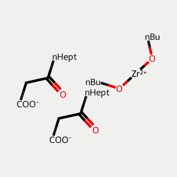 CCCCCCCC(=O)CC(=O)[O-].CCCCCCCC(=O)CC(=O)[O-].CCCC[O][Zr+2][O]CCCC